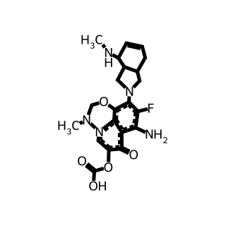 CNC1C=CCC2CN(c3c(F)c(N)c4c(=O)c(OC(=O)O)cn5c4c3OCN5C)CC21